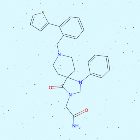 NC(=O)CN1CN(c2ccccc2)C2(CCN(Cc3ccccc3-c3cccs3)CC2)C1=O